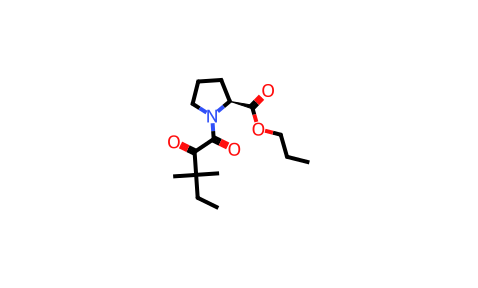 CCCOC(=O)[C@@H]1CCCN1C(=O)C(=O)C(C)(C)CC